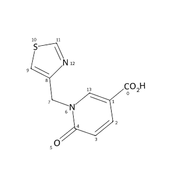 O=C(O)c1ccc(=O)n(Cc2cscn2)c1